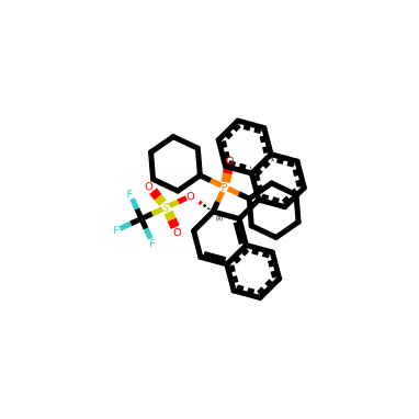 O=P(C1CCCCC1)(C1CCCCC1)[C@]1(OS(=O)(=O)C(F)(F)F)CC=c2ccccc2=C1c1cccc2ccccc12